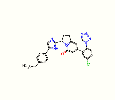 O=C(O)Cc1ccc(-c2cnc(C3CCc4cc(-c5cc(Cl)ccc5-n5cnnn5)cc(=O)n43)[nH]2)cc1